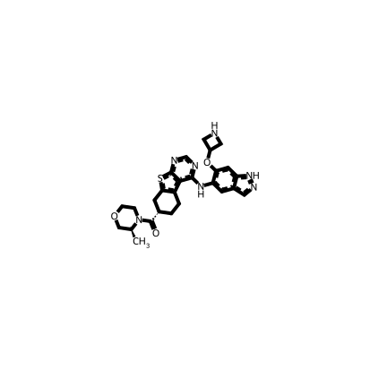 C[C@H]1COCCN1C(=O)[C@H]1CCc2c(sc3ncnc(Nc4cc5cn[nH]c5cc4OC4CNC4)c23)C1